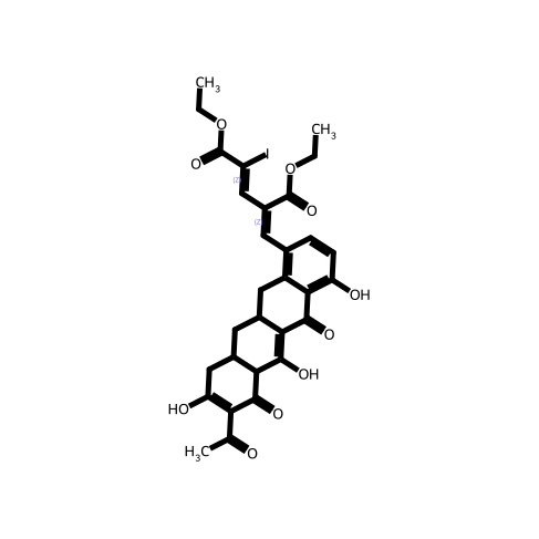 CCOC(=O)/C(I)=C/C(=C/c1ccc(O)c2c1CC1CC3CC(O)=C(C(C)=O)C(=O)C3C(O)=C1C2=O)C(=O)OCC